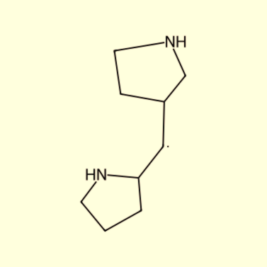 [CH](C1CCNC1)C1CCCN1